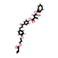 C=CC(=O)OCCCOc1ccc(/C=C/C(=O)c2ccc(OC(=O)C(=C)CC(=O)OC3CCCCC3)cc2)cc1